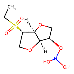 CCS(=O)(=O)[C@@H]1CO[C@H]2[C@@H]1OC[C@H]2ON(O)O